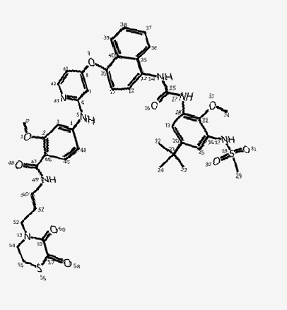 COc1cc(Nc2cc(Oc3ccc(NC(=O)Nc4cc(C(C)(C)C)cc(NS(C)(=O)=O)c4OC)c4ccccc34)ccn2)ccc1C(=O)NCCCN1CCSC(=O)C1=O